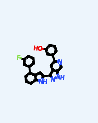 Oc1cccc(-c2cc3c(-c4cc5c(-c6cccc(F)c6)cccc5[nH]4)n[nH]c3cn2)c1